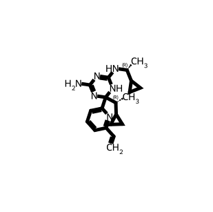 C=Cc1cccc(C2([C@H](C)C3CC3)N=C(N)N=C(N[C@H](C)C3CC3)N2)n1